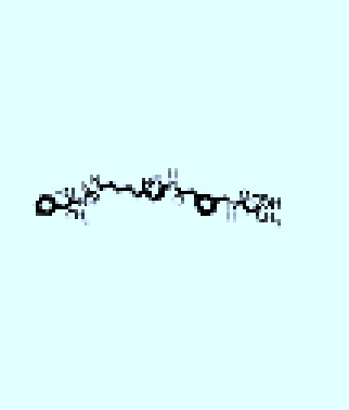 CC(c1ccccc1)C(O)Nc1nnc(CCCCc2ccc(NC(=O)Cc3cccc(CNC(=O)CC(C)(O)C(F)(F)F)c3)nn2)s1